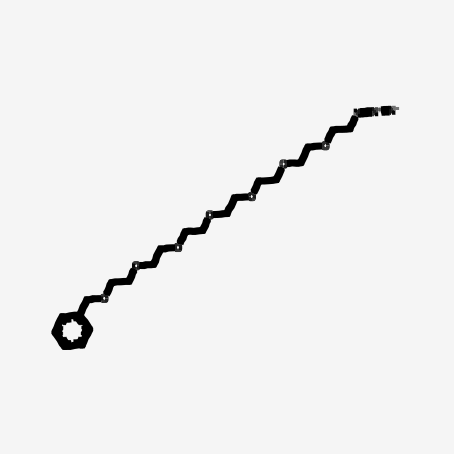 [N-]=[N+]=NCCOCCOCCOCCOCCOCCOCCOCc1ccccc1